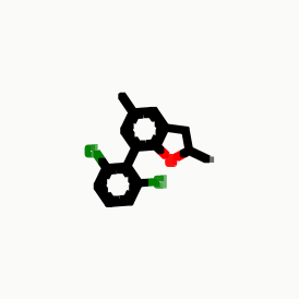 [CH2]C1Cc2cc(C)cc(-c3c(Cl)cccc3Cl)c2O1